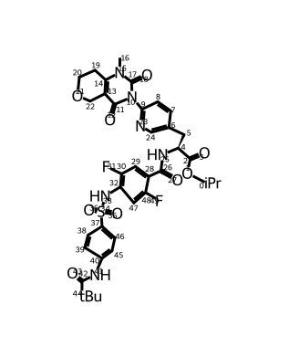 CC(C)OC(=O)[C@H](Cc1ccc(-n2c(=O)c3c(n(C)c2=O)CCOC3)nc1)NC(=O)c1cc(F)c(NS(=O)(=O)c2ccc(NC(=O)C(C)(C)C)cc2)cc1F